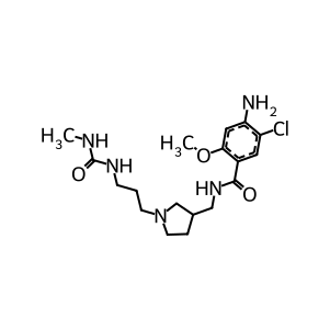 CNC(=O)NCCCN1CCC(CNC(=O)c2cc(Cl)c(N)cc2OC)C1